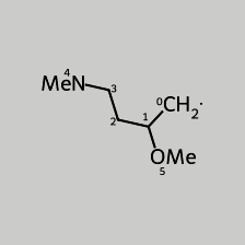 [CH2]C(CCNC)OC